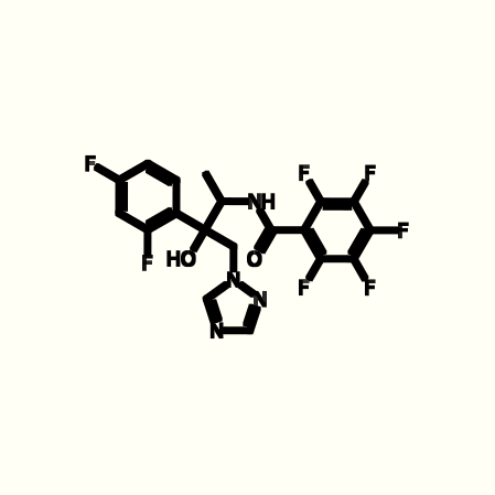 CC(NC(=O)c1c(F)c(F)c(F)c(F)c1F)C(O)(Cn1cncn1)c1ccc(F)cc1F